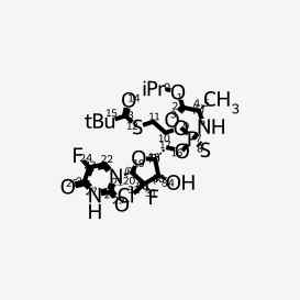 CC(C)OC(=O)[C@H](C)NP(=S)(OCCSC(=O)C(C)(C)C)OC[C@H]1O[C@@H](n2cc(F)c(=O)[nH]c2=O)[C@](F)(Cl)[C@@H]1O